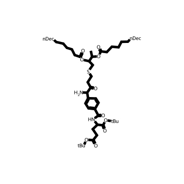 CCCCCCCCCCCCCCCC(=O)OC(C)C(CSCCC(=O)C(N)c1ccc(C(=O)NC(CCC(=O)OC(C)(C)C)C(=O)OC(C)(C)C)cc1)OC(=O)CCCCCCCCCCCCCCC